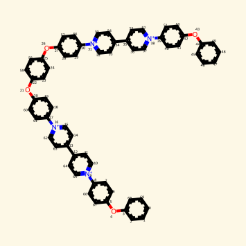 c1ccc(Oc2ccc(-[n+]3ccc(-c4cc[n+](-c5ccc(Oc6ccc(Oc7ccc(-[n+]8ccc(-c9cc[n+](-c%10ccc(Oc%11ccccc%11)cc%10)cc9)cc8)cc7)cc6)cc5)cc4)cc3)cc2)cc1